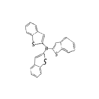 c1ccc2sc(B(c3cc4ccccc4s3)c3cc4ccccc4s3)cc2c1